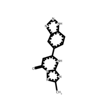 Cc1nc2[nH]c(-c3ccc4[nH]nnc4c3)cc(=O)n2n1